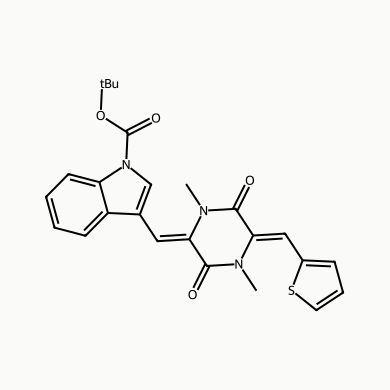 Cn1c(=O)c(=Cc2cn(C(=O)OC(C)(C)C)c3ccccc23)n(C)c(=O)c1=Cc1cccs1